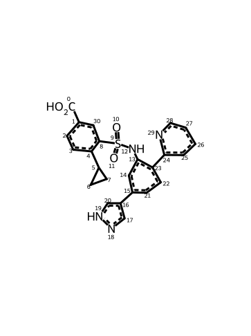 O=C(O)c1ccc(C2CC2)c(S(=O)(=O)Nc2cc(-c3cn[nH]c3)ccc2-c2ccccn2)c1